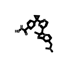 Cc1nc2cc(CN(C)C)ccn2c1-c1ccnc(C2(c3ccc(C(=O)NO)cc3)CC2)n1